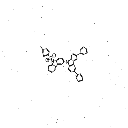 Cc1ccc(S(=O)(=O)n2c3ccccc3c3cc(-n4c5ccc(-c6ccccc6)cc5c5cc(-c6ccccc6)ccc54)ccc32)cc1